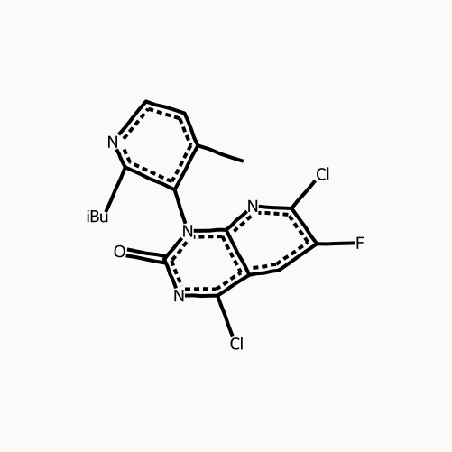 CCC(C)c1nccc(C)c1-n1c(=O)nc(Cl)c2cc(F)c(Cl)nc21